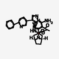 CS(=O)(=O)c1c([C@H]2C[C@H]3CC[C@@H](C2)N3C(=O)NC2CC2)nc2c(-c3ccc(-c4ccccc4)nc3)cnn2c1N